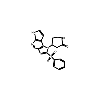 O=C1CC(n2c(S(=O)(=O)c3ccccc3)nc3cnc4[nH]ccc4c32)CCN1